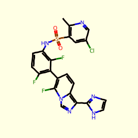 Cc1ncc(Cl)cc1S(=O)(=O)Nc1ccc(F)c(-c2ccc3c(-c4ncc[nH]4)ncn3c2F)c1F